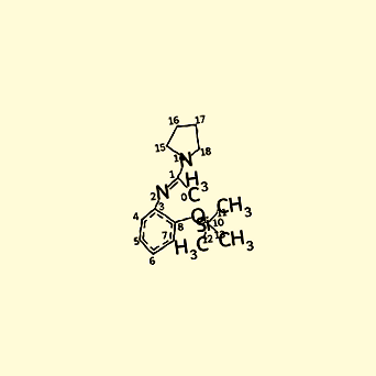 CC(=Nc1ccccc1O[Si](C)(C)C)N1CCCC1